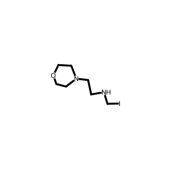 ICNCCN1CCOCC1